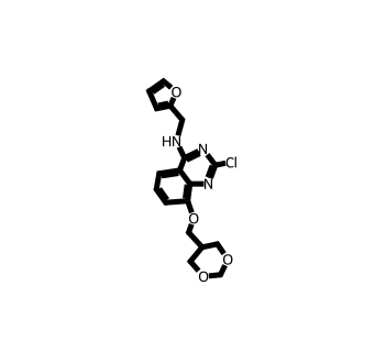 Clc1nc(NCc2ccco2)c2cccc(OCC3COCOC3)c2n1